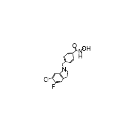 O=C(NO)c1ccc(CN2CCc3cc(F)c(Cl)cc32)cc1